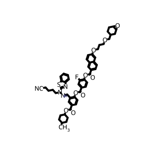 CC1CCC(OC(=O)c2ccc(OC(=O)c3ccc(OC(=O)c4ccc5cc(OCCCOCC6CCC7OC7C6)ccc5c4)c(F)c3)c(/C=N/N(CCCCC#N)c3nc4ccccc4s3)c2)CC1